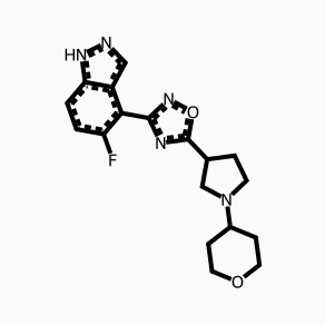 Fc1ccc2[nH]ncc2c1-c1noc(C2CCN(C3CCOCC3)C2)n1